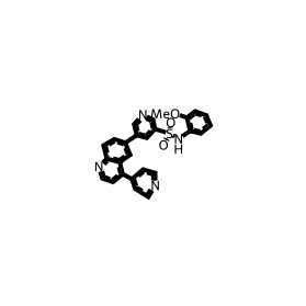 COc1ccccc1NS(=O)(=O)c1cncc(-c2ccc3nccc(-c4ccncc4)c3c2)c1